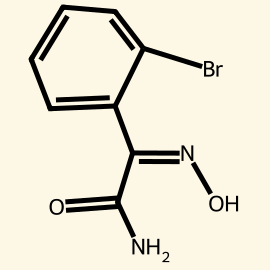 NC(=O)C(=NO)c1ccccc1Br